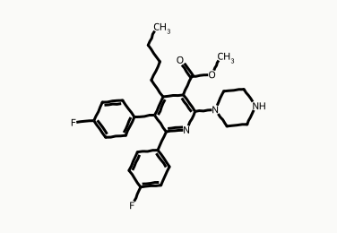 CCCCc1c(C(=O)OC)c(N2CCNCC2)nc(-c2ccc(F)cc2)c1-c1ccc(F)cc1